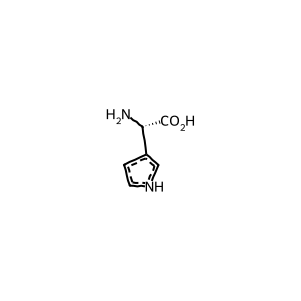 N[C@H](C(=O)O)c1cc[nH]c1